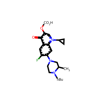 CCCCN1CCN(c2cc3c(cc2F)c(=O)c(OC(=O)O)cn3C2CC2)CC1C